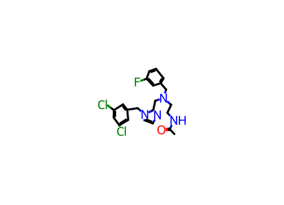 CC(=O)NCCN(Cc1cccc(F)c1)Cc1nccn1Cc1cc(Cl)cc(Cl)c1